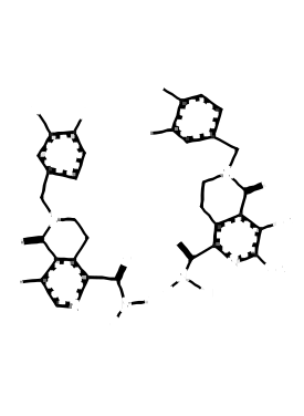 CC(=O)Oc1nc(C(=O)N(C)C)c2c(c1OC(C)=O)C(=O)N(Cc1ccc(F)c(Cl)c1)CC2.CN(C)C(=O)c1ncc(O)c2c1CCN(Cc1ccc(F)c(Cl)c1)C2=O